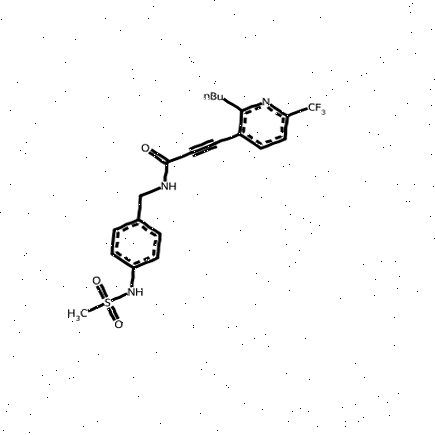 CCCCc1nc(C(F)(F)F)ccc1C#CC(=O)NCc1ccc(NS(C)(=O)=O)cc1